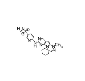 CN1N=CC2(CCCCC2)n2c1cc1cnc(Nc3ccc(S(N)(=O)=O)cn3)nc12